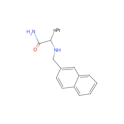 CCCC(NCc1ccc2ccccc2c1)C(N)=O